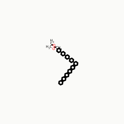 C1CCCCC1.C1CCCCC1.C1CCCCC1.C1CCCCC1.C1CCCCC1.C1CCCCC1.C1CCCCC1.C1CCCCC1.C1CCCCC1.C1CCCCC1.CC(=O)OC(C)C